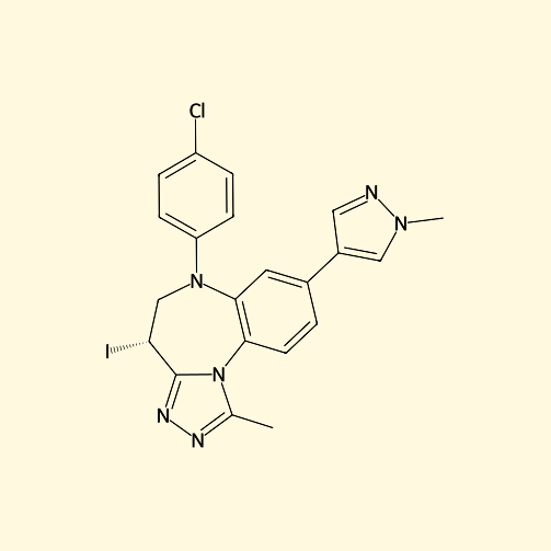 Cc1nnc2n1-c1ccc(-c3cnn(C)c3)cc1N(c1ccc(Cl)cc1)C[C@H]2I